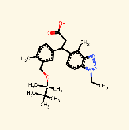 CCn1nnc2c(C)c(C(CC(=O)O)c3ccc(C)c(CO[Si](C)(C)C(C)(C)C)c3)ccc21